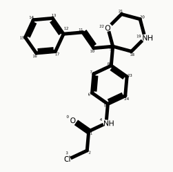 O=C(CCl)Nc1ccc(C2(C=Cc3ccccc3)CNCCO2)cc1